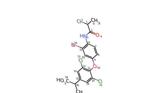 CC(Cl)C(=O)Nc1ccc(Oc2c(Cl)cc(C(C)C(=O)O)cc2Cl)cc1Br